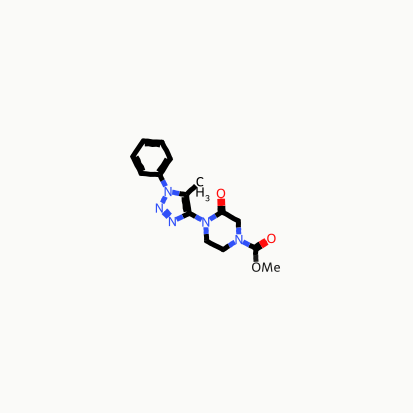 COC(=O)N1CCN(c2nnn(-c3ccccc3)c2C)C(=O)C1